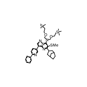 CSc1c(C2CC3CCC(C3)C2)nc2c(-c3ccc(-c4ccccc4)nc3)cnn2c1N(COCC[Si](C)(C)C)COCC[Si](C)(C)C